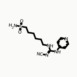 N#C/N=C(\NCCCCCCS(N)(=O)=O)Nc1ccncc1